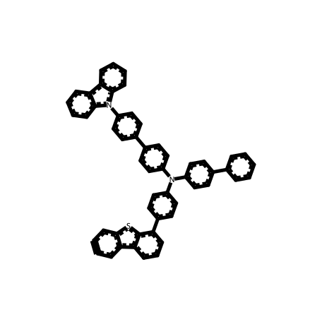 c1cc2sc3c(-c4ccc(N(c5ccc(-c6ccccc6)cc5)c5ccc(-c6ccc(-n7c8ccccc8c8ccccc87)cc6)cc5)cc4)cccc3c2cc#1